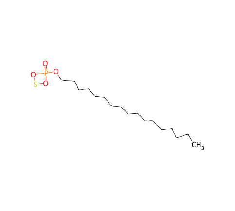 CCCCCCCCCCCCCCCCCOP1(=O)OSO1